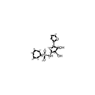 O=S(=O)(Nc1oc(-c2ccco2)c(O)c1O)c1ccccc1